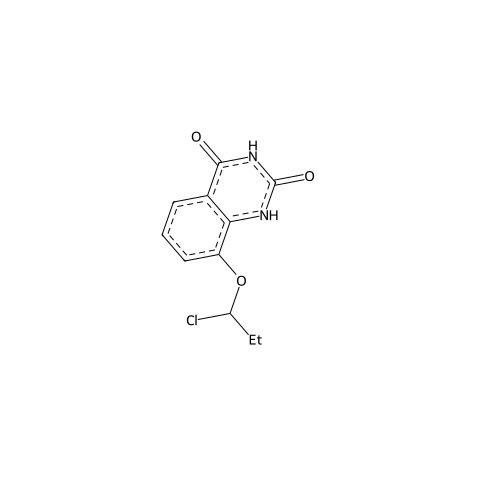 CCC(Cl)Oc1cccc2c(=O)[nH]c(=O)[nH]c12